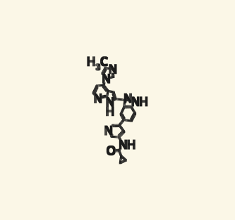 Cc1cn(-c2ccnc3[nH]c(-c4n[nH]c5ccc(-c6cncc(NC(=O)C7CC7)c6)cc45)cc23)cn1